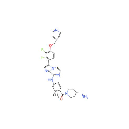 Cc1cc(Nc2nccn3c(-c4ccc(OCc5ccncc5)c(F)c4F)cnc23)ccc1C(=O)N1CCC(CN)CC1